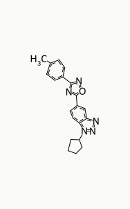 Cc1ccc(-c2noc(-c3ccc4c(c3)nnn4C3CCCC3)n2)cc1